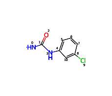 [NH]C(=O)Nc1cccc(Cl)c1